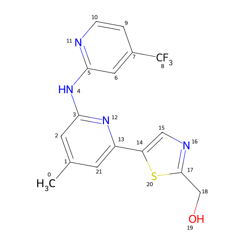 Cc1cc(Nc2cc(C(F)(F)F)ccn2)nc(-c2cnc(CO)s2)c1